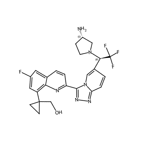 N[C@H]1CCN([C@H](c2ccc3nnc(-c4ccc5cc(F)cc(C6(CO)CC6)c5n4)n3c2)C(F)(F)F)C1